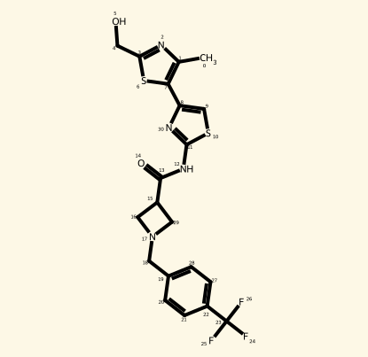 Cc1nc(CO)sc1-c1csc(NC(=O)C2CN(Cc3ccc(C(F)(F)F)cc3)C2)n1